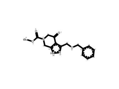 CC(C)(C)OC(=O)N1CC(=O)c2c(COCc3ccccc3)n[nH]c2C1